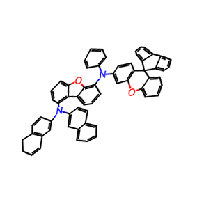 C1=Cc2cc(N(c3ccc4ccccc4c3)c3cccc4oc5c(N(c6ccccc6)c6ccc7c(c6)Oc6ccccc6C76c7ccccc7-c7ccccc76)cccc5c34)ccc2CC1